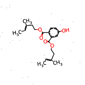 CC=C(C)CCOC(=O)c1ccc(O)cc1C(=O)OCCC(C)=CC